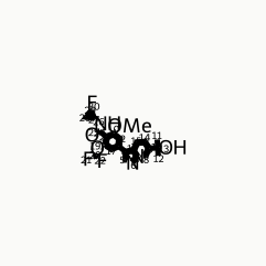 COc1cc(-c2cnn3cc(C(C)(C)O)ccc23)cc(OC(F)F)c1C(=O)NC1CC1F